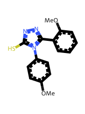 COc1ccc(-n2c(S)nnc2-c2ccccc2OC)cc1